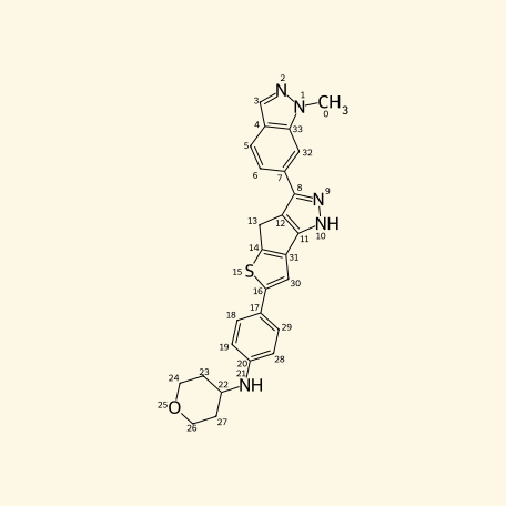 Cn1ncc2ccc(-c3n[nH]c4c3Cc3sc(-c5ccc(NC6CCOCC6)cc5)cc3-4)cc21